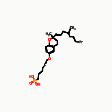 CC(C)CCCC(C)CC=CC1(C)CCc2cc(OCCCCCCP(=O)(O)O)ccc2O1